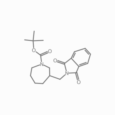 CC(C)(C)OC(=O)N1CCCCC(CN2C(=O)c3ccccc3C2=O)C1